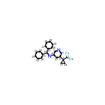 FC(F)C1(c2cncc(N=C(c3ccccc3)c3ccccc3)c2)CC1